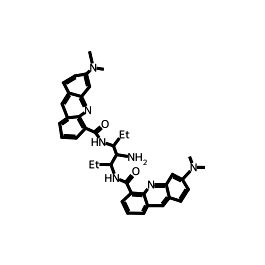 CCC(NC(=O)c1cccc2cc3ccc(N(C)C)cc3nc12)C(N)C(CC)NC(=O)c1cccc2cc3ccc(N(C)C)cc3nc12